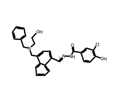 O=C(N/N=C/c1ccc(CN(CCO)Cc2ccccc2)c2ccccc12)c1ccc(O)c(Cl)c1